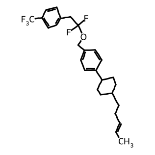 CC=CCCC1CCC(c2ccc(COC(F)(F)Cc3ccc(C(F)(F)F)cc3)cc2)CC1